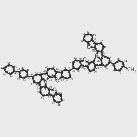 Cc1ccc(-c2cc3c4ccc5c6ccccc6oc5c4n4c3c(c2)c2ccc3c5cc(-c6ccc7oc8c(ccc9c%10cc(-c%11ccc(-c%12ccccc%12)cc%11)cc%11c%12ccc%13c%14ccccc%14oc%13c%12n(c%11%10)c98)c7c6)ccc5oc3c24)cc1